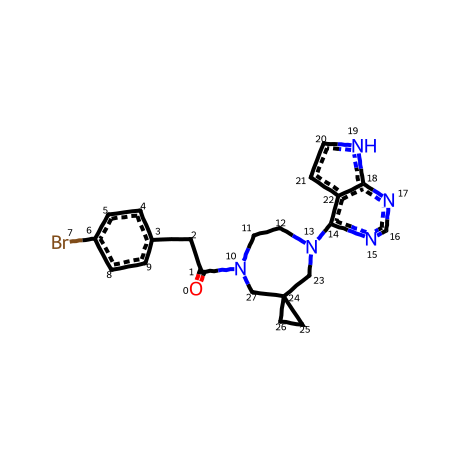 O=C(Cc1ccc(Br)cc1)N1CCN(c2ncnc3[nH]ccc23)CC2(CC2)C1